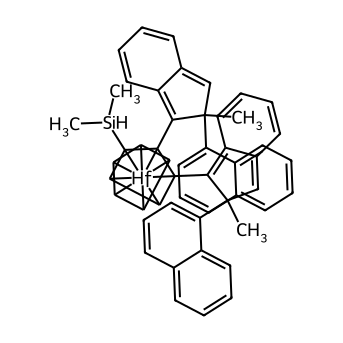 C[SiH](C)[C]12[CH]3[CH]4[C]5(C6=c7ccccc7=CC6(C)c6cccc7ccccc67)[C]1(C1=c6ccccc6=CC1(C)c1cccc6ccccc16)[Hf]43521678[CH]2[CH]1[CH]6[CH]7[CH]28